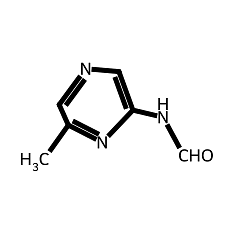 Cc1cncc(NC=O)n1